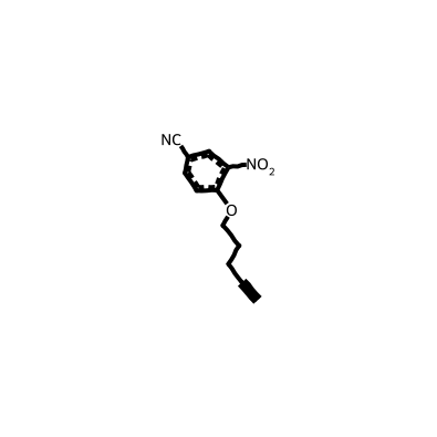 C#CCCCOc1ccc(C#N)cc1[N+](=O)[O-]